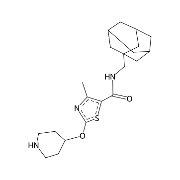 Cc1nc(OC2CCNCC2)sc1C(=O)NCC12CC3CC(CC(C3)C1)C2